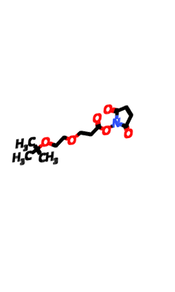 CC(C)(C)OCCOCCC(=O)ON1C(=O)CCC1=O